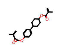 C=C(C)C(=O)OC1CCC(c2ccc(OC3OC3C(=C)C)cc2)CC1